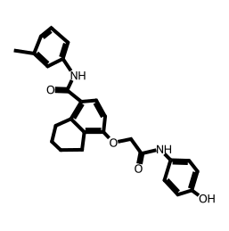 Cc1cccc(NC(=O)c2ccc(OCC(=O)Nc3ccc(O)cc3)c3c2CCCC3)c1